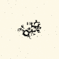 C[C@@]1(c2cc([N+](=O)[O-])ccc2Cl)CS(=O)(=O)[C@@]2(CCOC2)C(=N)N1